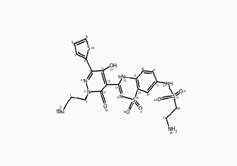 CC(C)(C)CCn1nc(-c2cccs2)c(O)c(C2=NS(=O)(=O)c3cc(NS(=O)(=O)CCN)ccc3N2)c1=O